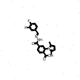 Cc1ccc(C)n1-c1cc(C(=O)N/N=C/c2ccc(F)c(F)c2)ccc1C(=O)O